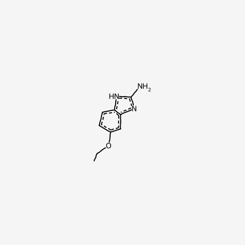 CCOc1ccc2[nH]c(N)nc2c1